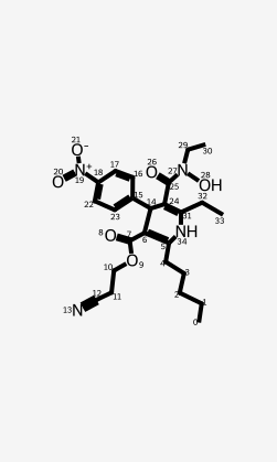 CCCCCC1=C(C(=O)OCCC#N)C(c2ccc([N+](=O)[O-])cc2)C(C(=O)N(O)CC)=C(CC)N1